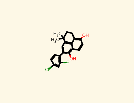 CC1(C)CCc2c(O)ccc3c(O)c(-c4ccc(Cl)cc4F)cc1c23